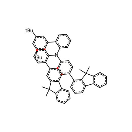 CC(C)(C)c1cc(-c2ccccc2N(c2ccc(-c3cccc4c3C(C)(C)c3ccccc3-4)cc2)c2ccccc2-c2ccc3c(c2)C(C)(C)c2ccccc2-3)cc(C(C)(C)C)c1